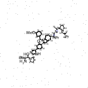 CC[C@@H](C)[C@H](N)C(O)N1CCC[C@H]1c1ncc(-c2ccc3c(c2)OC(c2cccc(OC)c2)n2c-3cc3cc(/C(=C/N=C(\C)[C@@H]4CCCN4C[C@@H](C)C(C)C)C(C)C)ccc32)[nH]1